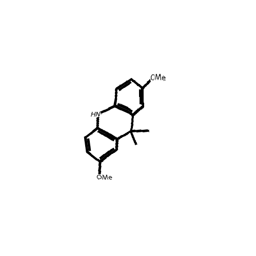 COc1ccc2c(c1)C(C)(C)c1cc(OC)ccc1N2